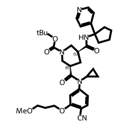 COCCCOc1cc(N(C(=O)[C@@H]2C[C@H](C(=O)NC3(c4ccncc4)CCCC3)CN(C(=O)OC(C)(C)C)C2)C2CC2)ccc1C#N